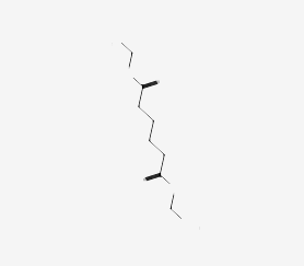 CCOC(=O)[CH]CCCC(=O)OCC